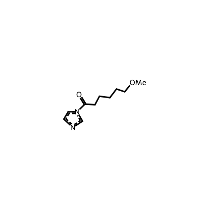 COCCCCCC(=O)n1ccnc1